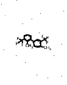 Cc1ccc(-c2cccc(C(F)(F)F)c2C)cc1C(F)(F)F